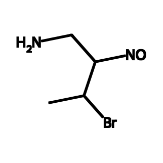 CC(Br)C(CN)N=O